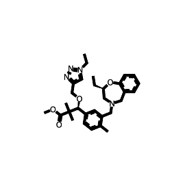 CC[C@@H]1CN(Cc2cc([C@H](OCc3cn(CC)nn3)C(C)(C)C(=O)OC)ccc2C)Cc2ccccc2O1